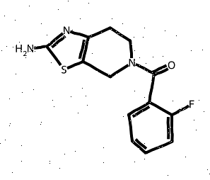 Nc1nc2c(s1)CN(C(=O)c1ccccc1F)CC2